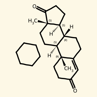 C1CCCCC1.C[C@]12CCC(=O)C=C1CC[C@@H]1[C@@H]2CC[C@]2(C)C(=O)CC[C@@H]12